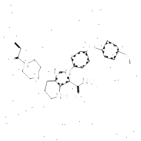 C=CC(=O)N1CCN([C@H]2CCNc3c2nn(-c2ccc(Oc4ccc(OC)cc4)cc2)c3C(N)=O)CC1